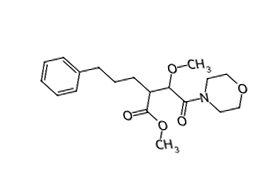 COC(=O)C(CCCc1ccccc1)C(OC)C(=O)N1CCOCC1